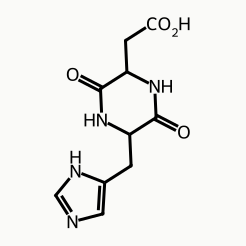 O=C(O)CC1NC(=O)C(Cc2cnc[nH]2)NC1=O